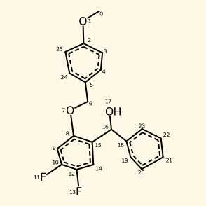 COc1ccc(COc2cc(F)c(F)cc2C(O)c2ccccc2)cc1